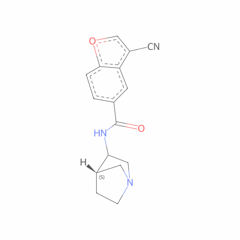 N#Cc1coc2ccc(C(=O)NC3CN4CC[C@H]3C4)cc12